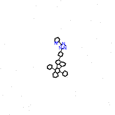 c1ccc(-c2c3c(c(-c4ccccc4)c4ccccc24)-c2ccc(-c4ccc(-c5ncnc(-c6ccccn6)n5)cc4)c4cccc-3c24)cc1